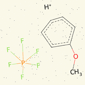 COc1ccccc1.F[P-](F)(F)(F)(F)F.[H+]